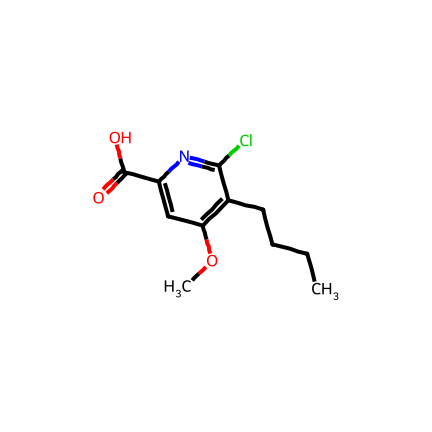 CCCCc1c(OC)cc(C(=O)O)nc1Cl